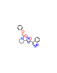 O=C(COc1ccccc1)N1CCCC[C@@H]1c1noc(-c2cnnc3ccccc23)n1